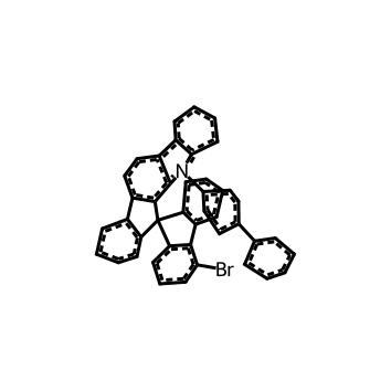 Brc1cccc2c1-c1ccccc1C21c2ccccc2-c2ccc3c4ccccc4n(-c4ccc(-c5ccccc5)cc4)c3c21